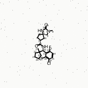 CN1C[C@@]2(CC[C@H](C(=O)N[C@@H](c3c(F)ccc(Cl)c3Cl)C3(C)CCCC3)C2)NC1=O